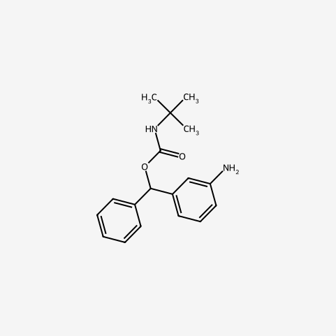 CC(C)(C)NC(=O)OC(c1ccccc1)c1cccc(N)c1